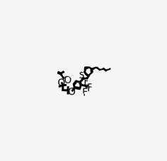 C=C(C)C(=O)OC(C)(C)CC(C)(C)Oc1ccc(-c2cc3cc(CCCCC)ccc3s2)c(C(F)(F)F)c1